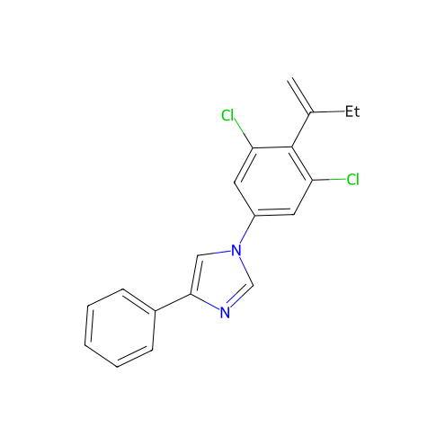 C=C(CC)c1c(Cl)cc(-n2cnc(-c3ccccc3)c2)cc1Cl